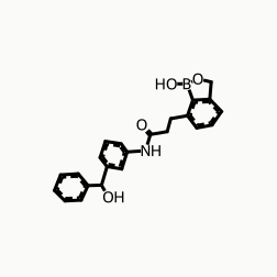 O=C(CCc1cccc2c1B(O)OC2)Nc1cccc(C(O)c2ccccc2)c1